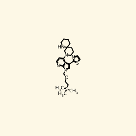 C[Si](C)(C)CCOCn1cc(-c2nccs2)c2c(N3CCC[C@@]4(CCCCN4)C3)ccnc21